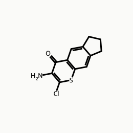 Nc1c(Cl)sc2cc3c(cc2c1=O)CCC3